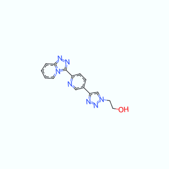 OCCn1cc(-c2ccc(-c3nnc4ccccn34)nc2)nn1